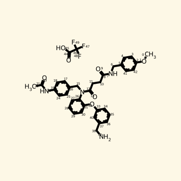 COc1ccc(CNC(=O)CCC(=O)N(Cc2ccc(NC(C)=O)cc2)c2ccccc2Oc2cccc(CN)c2)cc1.O=C(O)C(F)(F)F